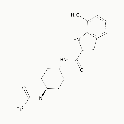 CC(=O)N[C@H]1CC[C@H](NC(=O)C2Cc3cccc(C)c3N2)CC1